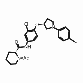 CC(=O)N1CCCC[C@@H]1C(=O)Nc1ccc(O[C@H]2CCN(c3ccc(F)cc3)C2)c(Cl)c1